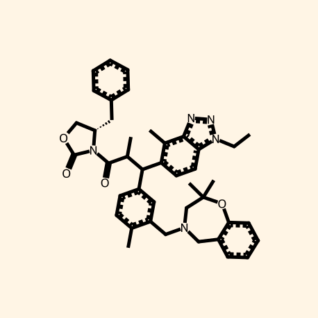 CCn1nnc2c(C)c(C(c3ccc(C)c(CN4Cc5ccccc5OC(C)(C)C4)c3)C(C)C(=O)N3C(=O)OC[C@@H]3Cc3ccccc3)ccc21